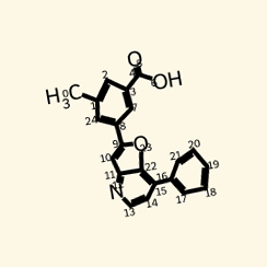 Cc1cc(C(=O)O)cc(-c2cc3nccc(-c4ccccc4)c3o2)c1